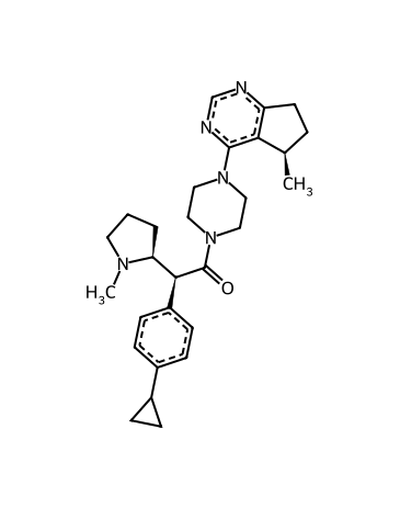 C[C@@H]1CCc2ncnc(N3CCN(C(=O)[C@@H](c4ccc(C5CC5)cc4)[C@@H]4CCCN4C)CC3)c21